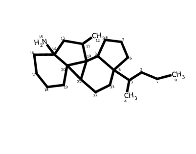 CCCC(C)C12CCCC1C13C(C)CC4(N)CCCCC41C3CC2